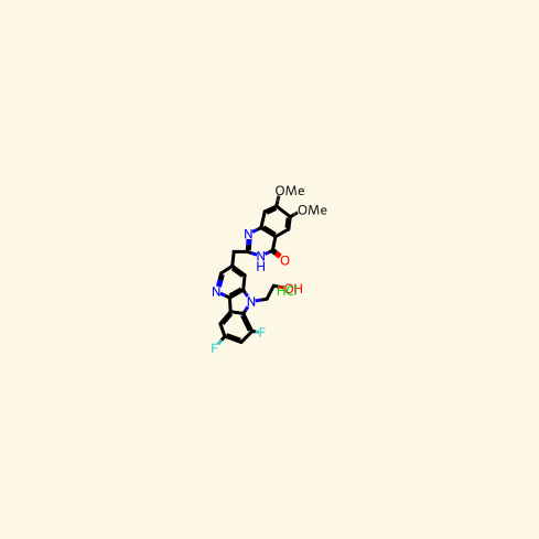 COc1cc2nc(Cc3cnc4c5cc(F)cc(F)c5n(CCO)c4c3)[nH]c(=O)c2cc1OC.Cl